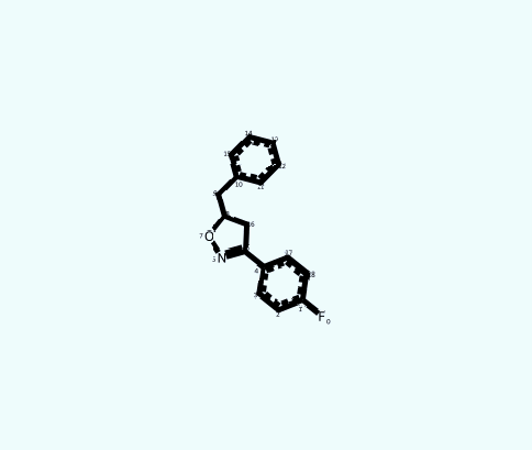 Fc1ccc(C2=NOC(Cc3ccccc3)C2)cc1